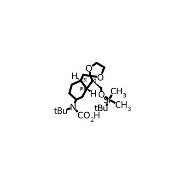 CC(C)(C)N(C(=O)O)C1CC[C@H]2CC3(OCCO3)[C@@H](CO[Si](C)(C)C(C)(C)C)[C@@H]2C1